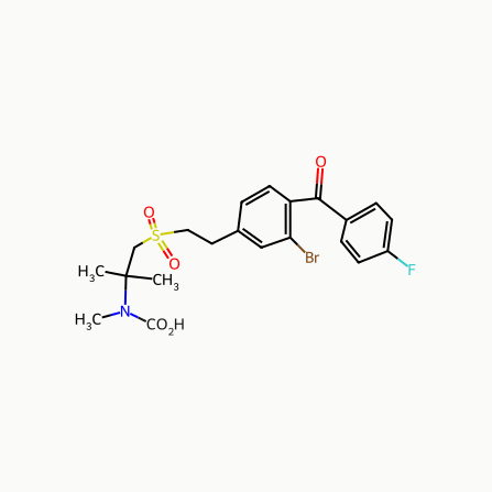 CN(C(=O)O)C(C)(C)CS(=O)(=O)CCc1ccc(C(=O)c2ccc(F)cc2)c(Br)c1